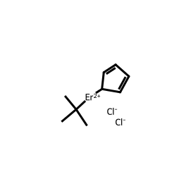 C[C](C)(C)[Er+2][CH]1C=CC=C1.[Cl-].[Cl-]